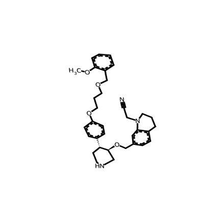 COc1ccccc1COCCCOc1ccc([C@H]2CCNC[C@@H]2OCc2ccc3c(c2)N(CC#N)CCC3)cc1